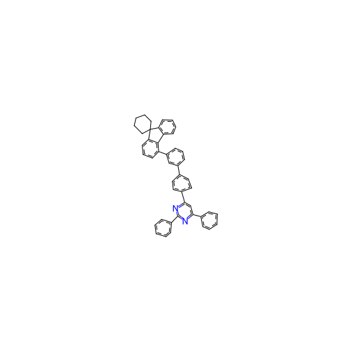 c1ccc(-c2cc(-c3ccc(-c4cccc(-c5cccc6c5-c5ccccc5C65CCCCC5)c4)cc3)nc(-c3ccccc3)n2)cc1